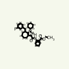 CCOC(=O)C1C2C=CC(C2)C1NC(=O)c1nn(C2CCCCC2)c2c1CCCCC2Cc1cccc(F)c1